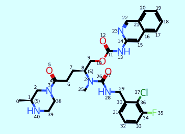 C[C@H]1CN(C(=O)CC[C@@H](COC(=O)Nc2cc3ccccc3cn2)N(C)C(=O)NCc2cccc(F)c2Cl)CCN1